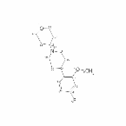 COc1cc(F)ccc1C1CCN(C2CCOCC2)CC1